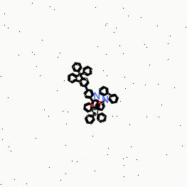 c1ccc(C2(c3ccccc3)c3ccccc3-c3cc(-c4ccc5c6ccccc6n(-c6cccc7c8ccccc8n(-c8ccc([Si](c9ccccc9)(c9ccccc9)c9ccccc9)cc8)c67)c5c4)ccc32)cc1